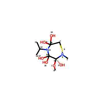 CO[C@]1(O)N(C)SCC(O)(O)N(C(C)C)C1(O)O